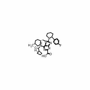 C[C@@H](Nc1nc(C(=O)O)nc2nc(N3CCCCC3c3ccc(F)cc3)n(C[C@H]3CC[C@H](C)CC3)c12)C1CCC1